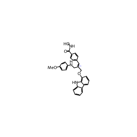 COc1ccc(NC/C(=C\c2ccc(C(=O)NO)cc2)COc2cccc3c2[nH]c2ccccc23)cc1